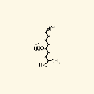 CC(C)CCCCCC[CH2][Hf+3].[OH-].[OH-].[OH-]